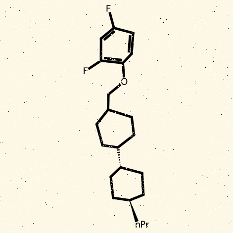 CCC[C@H]1CC[C@H](C2CCC(COc3ccc(F)cc3F)CC2)CC1